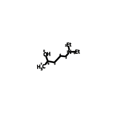 CCN(CC)CCCC(C)O